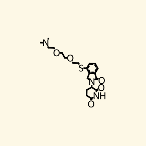 CN(C)CCOCCOCCSc1cccc2c1CN(C1CCC(=O)NC1=O)C2=O